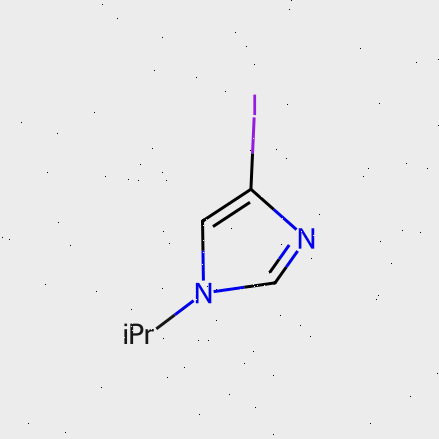 CC(C)n1cnc(I)c1